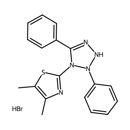 Br.Cc1nc(N2C(c3ccccc3)=NNN2c2ccccc2)sc1C